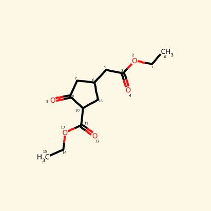 CCOC(=O)CC1CC(=O)C(C(=O)OCC)C1